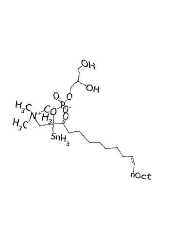 CCCCCCCC/C=C\CCCCCCCC(=O)[C]([SnH3])(C[N+](C)(C)C)OP(=O)([O-])OCC(O)CO